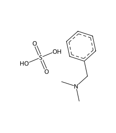 CN(C)Cc1ccccc1.O=S(=O)(O)O